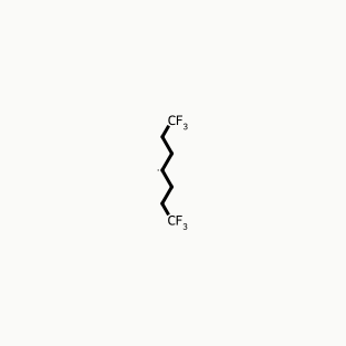 FC(F)(F)CC[CH]CCC(F)(F)F